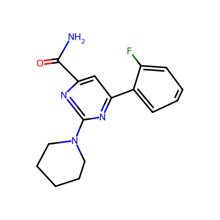 NC(=O)c1cc(-c2ccccc2F)nc(N2CCCCC2)n1